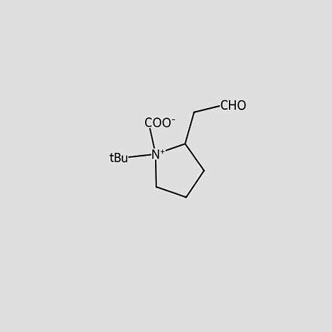 CC(C)(C)[N+]1(C(=O)[O-])CCCC1CC=O